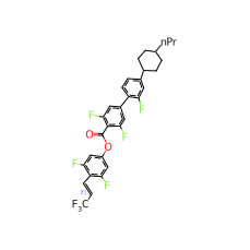 CCCC1CCC(c2ccc(-c3cc(F)c(C(=O)Oc4cc(F)c(/C=C/C(F)(F)F)c(F)c4)c(F)c3)c(F)c2)CC1